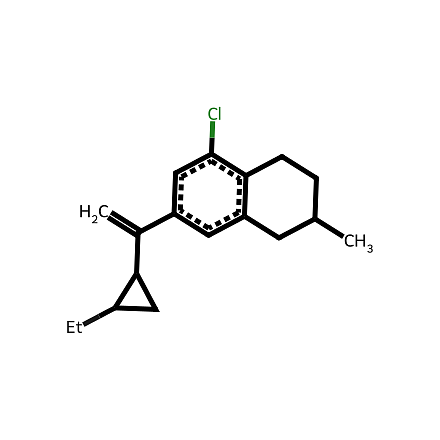 C=C(c1cc(Cl)c2c(c1)CC(C)CC2)C1CC1CC